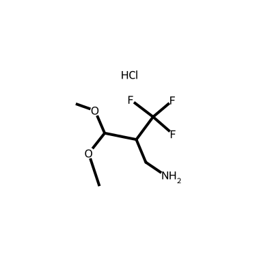 COC(OC)C(CN)C(F)(F)F.Cl